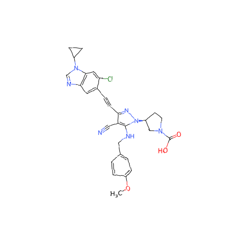 COc1ccc(CNc2c(C#N)c(C#Cc3cc4ncn(C5CC5)c4cc3Cl)nn2[C@H]2CCN(C(=O)O)C2)cc1